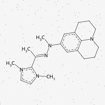 C/C(=N\N(C)c1cc2c3c(c1)CCCN3CCC2)c1n(C)cc[n+]1C